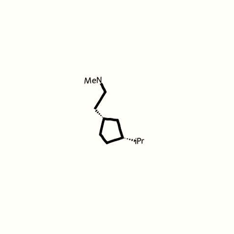 CNCC[C@H]1CC[C@@H](C(C)C)C1